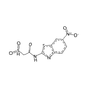 O=C(C[SH](=O)=O)Nc1nc2ccc([N+](=O)[O-])cc2s1